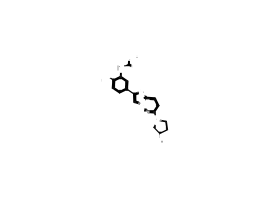 CC(C)(C)C(=O)Nc1cc(-c2cn3nc(N4CC[C@@H](O)C4)ccc3n2)ccc1C(F)(F)F